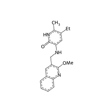 CCc1cc(NCc2cc3ccccc3nc2OC)c(=O)[nH]c1C